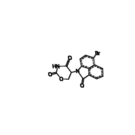 O=C1NC(=O)C(N2C(=O)c3cccc4c(Br)ccc2c34)CO1